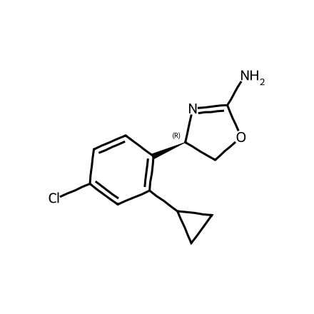 NC1=N[C@H](c2ccc(Cl)cc2C2CC2)CO1